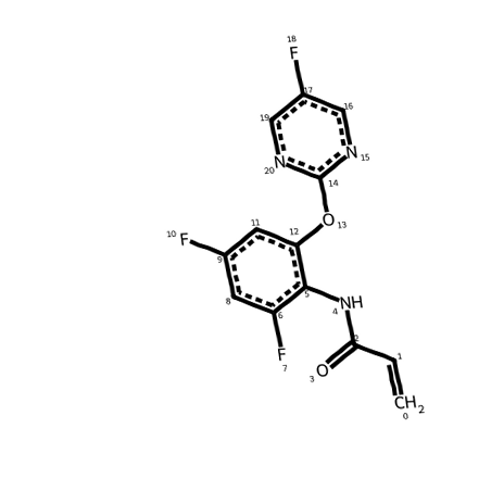 C=CC(=O)Nc1c(F)cc(F)cc1Oc1ncc(F)cn1